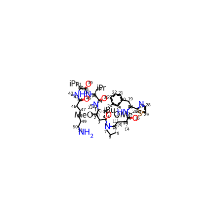 CC[C@H](C)[C@@H]([C@@H](CC(=O)N1CCC[C@H]1[C@H](OC)[C@@H](C)C(=O)N[C@@H](Cc1ccccc1)c1nccs1)OC)N(C)C(=O)[C@@H](NC(=O)[C@H](C(C)C)N(C)C(=O)CCCCCN)C(C)C